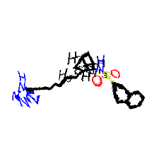 CC1(C)[C@H]2C[C@H](CC=CCCCc3nnn[nH]3)[C@@H](NS(=O)(=O)c3ccc4ccccc4c3)[C@H]1C2